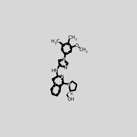 COc1cc(-n2cnc(Nc3cc4ccccc4c(N4CCC[C@@H]4CO)n3)c2)cc(C)c1C